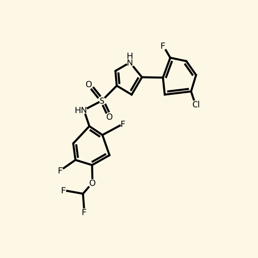 O=S(=O)(Nc1cc(F)c(OC(F)F)cc1F)c1c[nH]c(-c2cc(Cl)ccc2F)c1